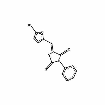 O=C1/C(=C/c2ccc(Br)o2)SC(=S)N1c1ccccc1